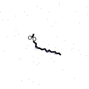 CC/C=C/C/C=C/CCC/C=C\CCOC(C)=O